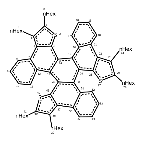 CCCCCCc1sc2c(c1CCCCCC)c1ccccc1c1c2c2c3ccccc3c3c(CCCCCC)c(CCCCCC)sc3c2c2c3ccccc3c3c(CCCCCC)c(CCCCCC)sc3c12